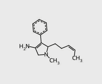 C/C=C\CCC1C(c2ccccc2)=C(N)CN1C